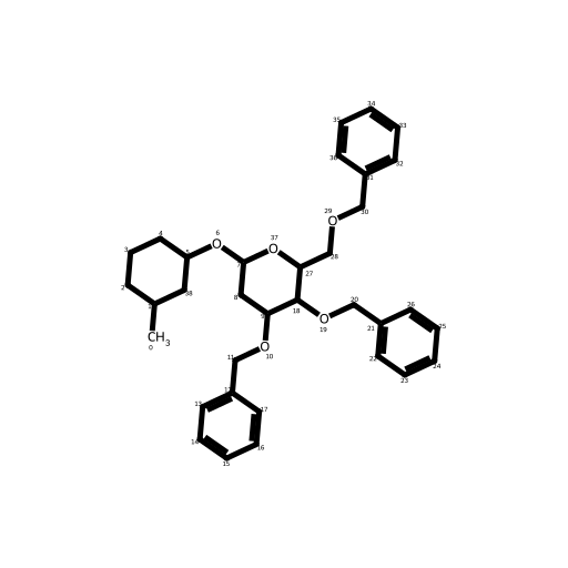 CC1CCCC(OC2CC(OCc3ccccc3)C(OCc3ccccc3)C(COCc3ccccc3)O2)C1